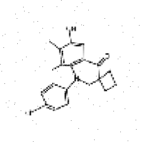 Cc1c(O)cc2c(c1C)N(c1ccc(Cl)cc1)CC1(CCC1)C2=O